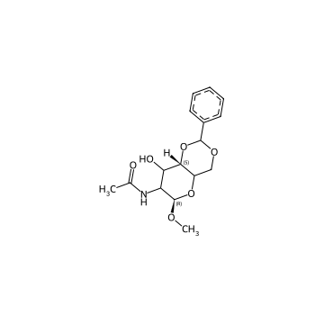 CO[C@@H]1OC2COC(c3ccccc3)O[C@H]2C(O)C1NC(C)=O